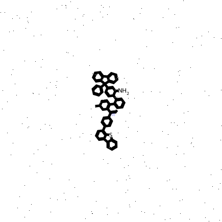 C/C=C(\C1=C(c2ccccc2C2C=CC(C3(c4ccccc4)c4ccccc4-c4ccccc43)=CC2N)C=CC(C)C1)c1ccc(-c2cccc3c2sc2ccccc23)cc1